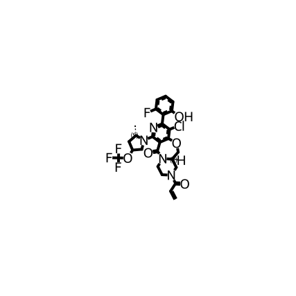 C=CC(=O)N1CCN2C(=O)c3c(N4CC(OC(F)(F)F)C[C@@H]4C)nc(-c4c(O)cccc4F)c(Cl)c3OC[C@H]2C1